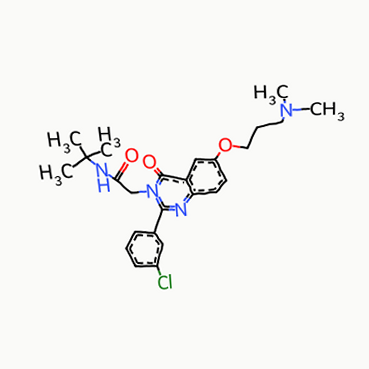 CN(C)CCCOc1ccc2nc(-c3cccc(Cl)c3)n(CC(=O)NC(C)(C)C)c(=O)c2c1